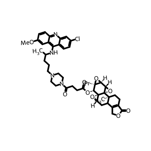 COc1ccc2nc3cc(Cl)ccc3c(NC(C)CCCN3CCN(C(=O)CCC(=O)O[C@@H]4[C@@]5(C(C)C)O[C@H]5[C@@H]5O[C@]56[C@]45O[C@H]5CC4C5=C(CC[C@@]46C)C(=O)OC5)CC3)c2c1